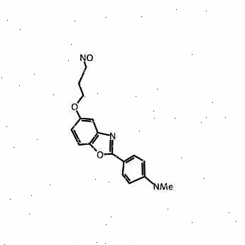 CNc1ccc(-c2nc3cc(OCCCN=O)ccc3o2)cc1